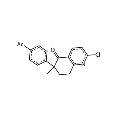 CC(=O)c1ccc(C2(C)CCc3nc(Cl)ccc3C2=O)cc1